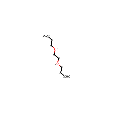 CSCCOCCOCCC=O